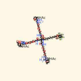 CC(=O)N[C@@H]1CCCO[C@@H]1/C(N)=C/NCOCCOCCOCCNC(=O)CCC(CCC(=O)NCCOCCOCCOCN/C=C(\N)[C@H]1O[C@H](C)CC[C@H]1NC(C)=O)(CCC(=O)NCCOCCOCCOCn1cc([C@H]2O[C@H](CO)CC[C@H]2NC(C)=O)nn1)NC(=O)CCCCCCCCCCC(=O)Oc1c(F)c(F)c(F)c(F)c1F